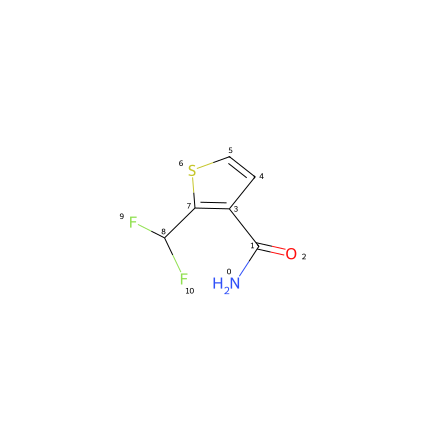 NC(=O)c1ccsc1C(F)F